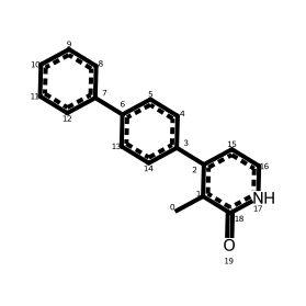 Cc1c(-c2ccc(-c3ccccc3)cc2)cc[nH]c1=O